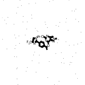 CC(Oc1nc(Cl)nc2cn(C)nc12)c1ccc(-c2nc(C(F)(F)F)cn2C(C)C)cc1